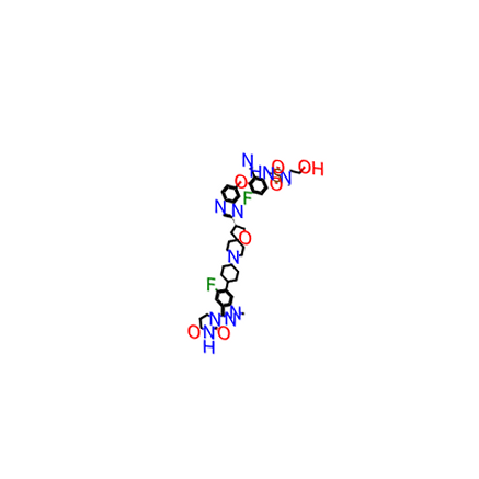 CN(CCO)S(=O)(=O)Nc1ccc(F)c(Oc2ccc3ncc([C@@H]4COC5(CCN(C6CCC(c7cc8c(cc7F)c(N7CCC(=O)NC7=O)nn8C)CC6)CC5)C4)nc3c2)c1C#N